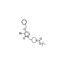 CC(C)(C)OC(=O)N1CCC(Cn2ccc(OCc3ccccc3)c(Br)c2=O)CC1